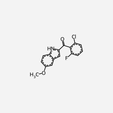 COc1ccc2[nH]c(C(=O)c3c(F)cccc3Cl)cc2c1